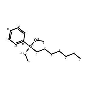 CCCCCCC[Si](OC)(OC)c1ccccc1